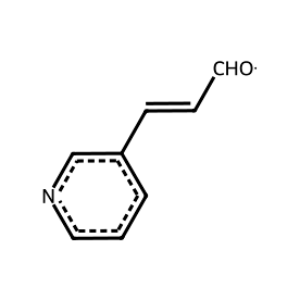 O=[C]C=Cc1cccnc1